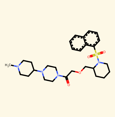 CN1CCC(N2CCN(C(=O)COCC3CCCCN3S(=O)(=O)c3cccc4ccccc34)CC2)CC1